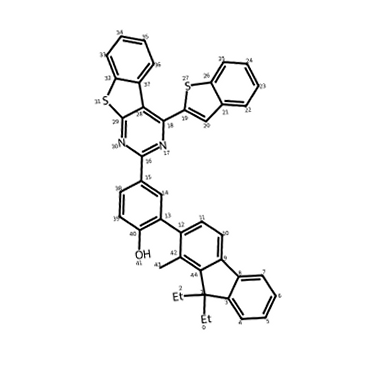 CCC1(CC)c2ccccc2-c2ccc(-c3cc(-c4nc(-c5cc6ccccc6s5)c5c(n4)sc4ccccc45)ccc3O)c(C)c21